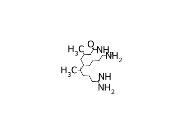 C[C](CCCC(=N)N)C(CCCCN)CC(C)CC(N)=O